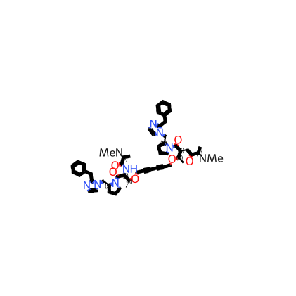 CN[C@@H](C)C(=O)C[C@H](C(=O)N1CCC[C@H]1Cn1ccnc1Cc1ccccc1)[C@@H](C)OCC#CC#CCO[C@H](C)[C@H](NC(=O)[C@H](C)NC)C(=O)N1CCC[C@H]1Cn1ccnc1Cc1ccccc1